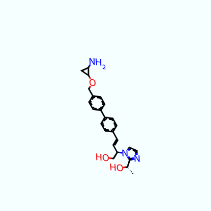 C[C@H](O)c1nccn1C(/C=C/c1ccc(-c2ccc(COC3CC3N)cc2)cc1)CO